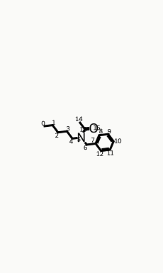 CCCCCN(Cc1ccccc1)C(C)=O